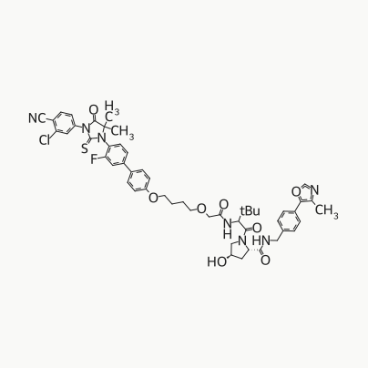 Cc1ncoc1-c1ccc(CNC(=O)[C@@H]2C[C@@H](O)CN2C(=O)C(NC(=O)COCCCCOc2ccc(-c3ccc(N4C(=S)N(c5ccc(C#N)c(Cl)c5)C(=O)C4(C)C)c(F)c3)cc2)C(C)(C)C)cc1